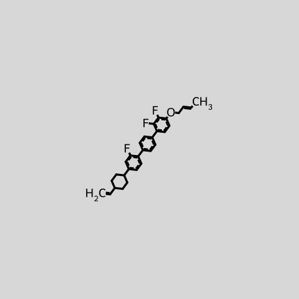 C=CC1CCC(c2ccc(-c3ccc(-c4ccc(OC/C=C/C)c(F)c4F)cc3)c(F)c2)CC1